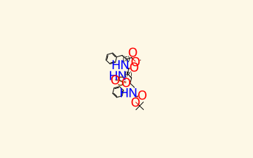 COC(=O)[C@H](Cc1ccccc1)NC(=O)[C@@H](CCCNC(=O)OC(C)(C)C)NS(=O)(=O)c1ccccc1